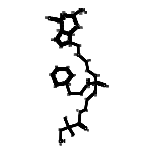 CC(C)(CO)C(=O)SCCOP(=O)(NCCc1ccccc1)OCCOCn1cnc2c(=O)[nH]c(N)nc21